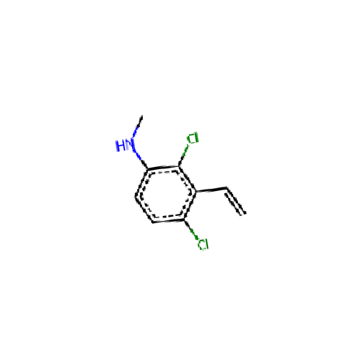 C=Cc1c(Cl)ccc(NC)c1Cl